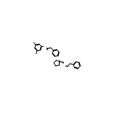 Cc1cc(C)cc(NC(=O)Cc2ccc(OC3(C(=O)N[C@H](Cc4ccccc4)C(=O)O)CCCC3)cc2)c1